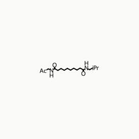 CC(=O)CNC(=O)CCCCCCCCC(=O)NCC(C)C